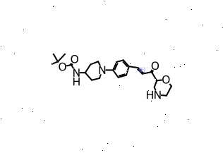 CC(C)(C)OC(=O)NC1CCN(c2ccc(/C=C/C(=O)C3CNCCO3)cc2)CC1